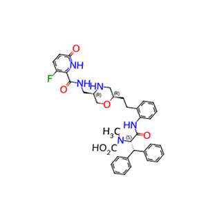 CN(C(=O)O)[C@H](C(=O)Nc1ccccc1CC[C@@H]1CN[C@H](CNC(=O)c2[nH]c(=O)ccc2F)CO1)C(c1ccccc1)c1ccccc1